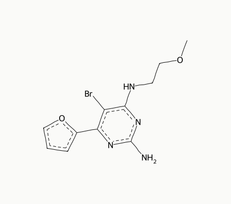 COCCNc1nc(N)nc(-c2ccco2)c1Br